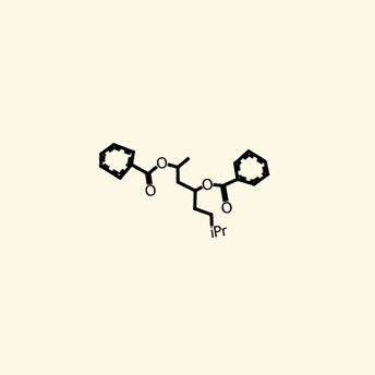 CC(C)CCC(CC(C)OC(=O)c1ccccc1)OC(=O)c1ccccc1